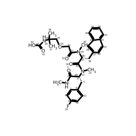 CNC(=O)[C@@H](Cc1ccc(F)cc1)N(C)C(=O)[C@@H](Cc1ccc2ccccc2c1)N(C)C(=O)COCC(C)(C)NC(=O)O